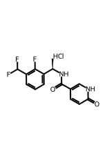 C[C@@H](NC(=O)c1ccc(=O)[nH]c1)c1cccc(C(F)F)c1F.Cl